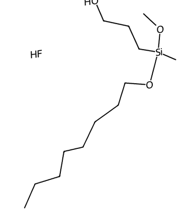 CCCCCCCCO[Si](C)(CCCO)OC.F